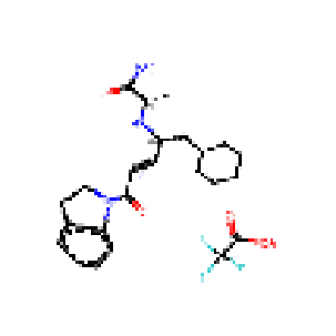 C[C@H](N[C@H](/C=C/C(=O)N1CCc2ccccc21)CC1CCCCC1)C(N)=O.O=C(O)C(F)(F)F